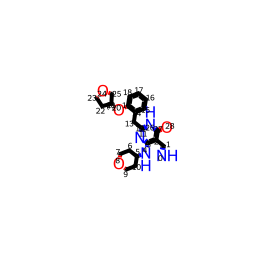 N=Cc1c(NC2CCOCC2)nc(Cc2ccccc2O[C@@H]2CCOC2)[nH]c1=O